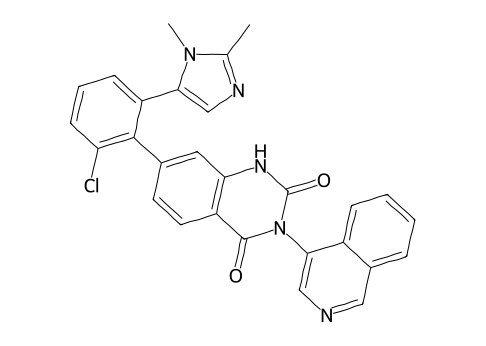 Cc1ncc(-c2cccc(Cl)c2-c2ccc3c(=O)n(-c4cncc5ccccc45)c(=O)[nH]c3c2)n1C